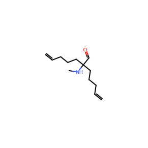 C=CCCCC(C=O)(CCCC=C)NC